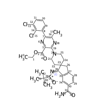 CCOC(=O)c1nc(-c2cccc(Cl)c2Cl)c(C)nc1N1CCC2(CC1)Cc1ccc(C(N)=O)cc1/C2=N\[S+]([O-])C(C)(C)C